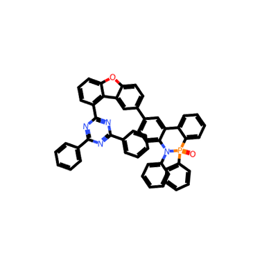 O=P1(c2ccccc2)c2ccccc2-c2cc(-c3ccc4oc5cccc(-c6nc(-c7ccccc7)nc(-c7ccccc7)n6)c5c4c3)ccc2N1c1ccccc1